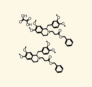 COc1ccc(C[C@@H]2c3cc(OC)c(OC)cc3CCN2CCC(=O)OCc2ccccc2)cc1OC.COc1ccc(C[C@@H]2c3cc(OC)c(OC)cc3CCN2CCC(=O)OCc2ccccc2)cc1OC.O=C(O)C(=O)O